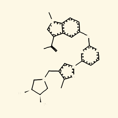 CO[C@@H]1CN(Cc2cn(-c3ccnc(Nc4ccc5c(c4)c(C(=O)C(F)(F)F)cn5C)n3)nc2C)C[C@@H]1O